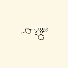 CCOC(=O)C(Cc1ccc(F)cc1)Oc1ccccc1OCC